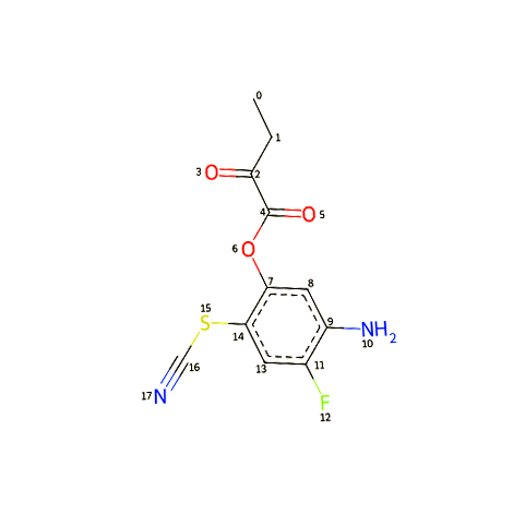 CCC(=O)C(=O)Oc1cc(N)c(F)cc1SC#N